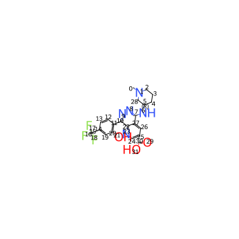 CN1CCC[C@@H](Nc2nnc(-c3ccc(C(F)(F)F)cc3O)c3ncccc23)C1.O=CO